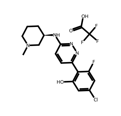 CN1CCC[C@@H](Nc2ccc(-c3c(O)cc(Cl)cc3F)nn2)C1.O=C(O)C(F)(F)F